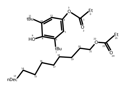 CCC(=O)Oc1cc(C(C)(C)C)c(O)c(C(C)(C)C)c1.CCCCCCCCCCCCCCCCCCOC(=O)CC